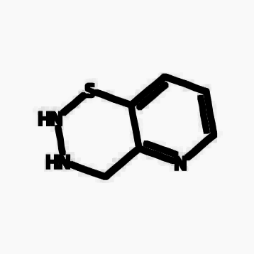 c1cnc2c(c1)SNNC2